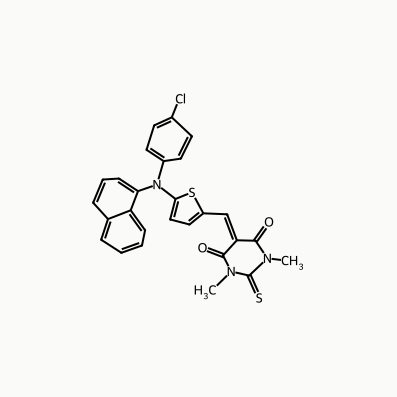 CN1C(=O)C(=Cc2ccc(N(c3ccc(Cl)cc3)c3cccc4ccccc34)s2)C(=O)N(C)C1=S